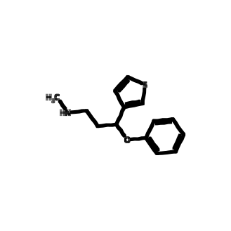 CNCCC(Oc1ccccc1)c1ccsc1